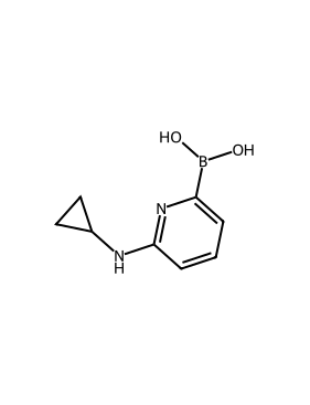 OB(O)c1cccc(NC2CC2)n1